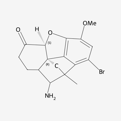 COc1cc(Br)c2c3c1O[C@@H]1C(=O)CCC4C(N)C2(C)C[C@]341